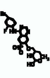 CCC(COc1cc2ncnc(Nc3ccc(Br)cc3F)c2cc1[N+](=O)[O-])NC(=O)O